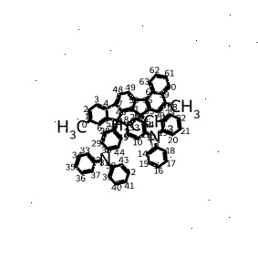 Cc1ccc2c(c1)C(c1ccc(N(c3ccccc3)c3ccccc3)cc1)(c1ccc(N(c3ccccc3)c3ccccc3)cc1)c1c-2ccc2c1C(C)(C)c1cc(C)c3ccccc3c1-2